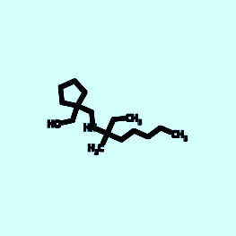 CCCCCC(C)(CC)NCC1(CO)CCCC1